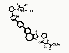 COC(=O)N[C@H](C(=O)N1CCC[C@H]1c1nc2c([nH]1)-c1ccc(-c3ccc(-c4cnc([C@H]5CCC[C@@H]5NC(=O)[C@@H](NC(=O)O)C(C)C)[nH]4)cc3)cc1CCC2)C(C)C